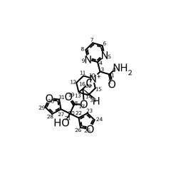 NC(=O)C(c1ncccn1)[N+]12CCC(CC1)[C@@H](OC(=O)C(O)(c1ccoc1)c1ccoc1)C2